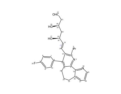 CC(C)c1nc2c(c(-c3ccc(F)cc3)c1/C=C/[C@@H](O)C[C@@H](O)CC=O)CCCc1cccnc1-2